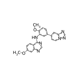 COc1ccc2c(Nc3cc(-c4ccn5ncnc5c4)ccc3OC)ncnc2c1